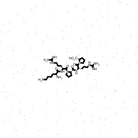 N=C(N)NCCC[C@H](NC(=O)[C@@H]1CCCN1C(=O)[C@H](CCCNC(=N)N)NC(=O)[C@@H](N)CCCCN)C(=O)N1CCC[C@H]1C(=O)O